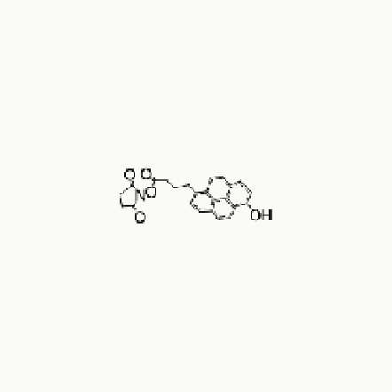 O=C(CCCc1ccc2ccc3c(O)ccc4ccc1c2c43)ON1C(=O)CCC1=O